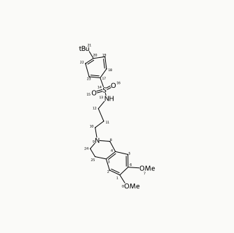 COc1cc2c(cc1OC)CN(CCCNS(=O)(=O)c1ccc(C(C)(C)C)cc1)CC2